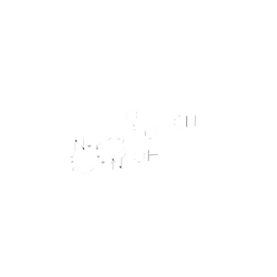 CCOC(=O)c1cc2ncccc2nc1O